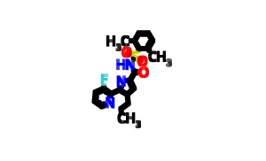 CCCC1C=C(C(=O)NS(=O)(=O)C2C(C)=CC=CC2C)N=C1c1ncccc1F